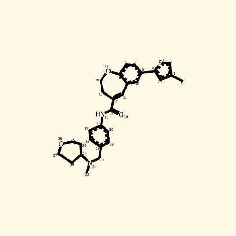 Cc1csc(-c2ccc3c(c2)C=C(C(=O)Nc2ccc(CN(C)C4CCOCC4)cc2)CCO3)c1